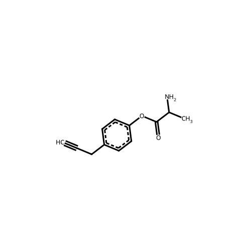 C#CCc1ccc(OC(=O)C(C)N)cc1